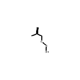 C=C(C)CO[N]O